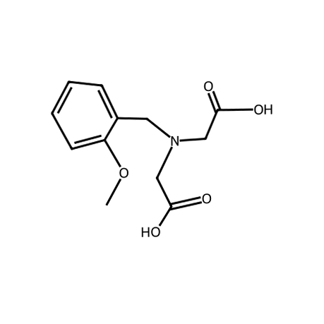 COc1ccccc1CN(CC(=O)O)CC(=O)O